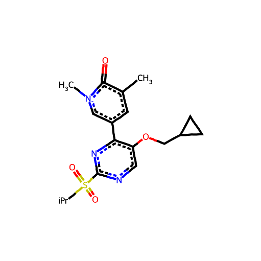 Cc1cc(-c2nc(S(=O)(=O)C(C)C)ncc2OCC2CC2)cn(C)c1=O